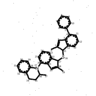 CC1=Cc2c(-c3ccccc3)cccc2C1SC1C(C)=Cc2c1cccc2N1c2ccccc2CCC1C